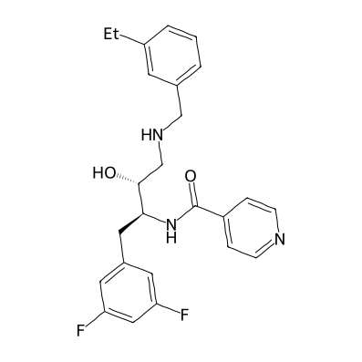 CCc1cccc(CNC[C@@H](O)[C@H](Cc2cc(F)cc(F)c2)NC(=O)c2ccncc2)c1